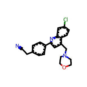 N#CCc1ccc(-c2cc(CN3CCOCC3)c3ccc(Cl)cc3n2)cc1